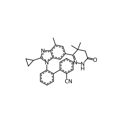 Cc1cc(C2=NNC(=O)CC2(C)C)cc2c1nc(C1CC1)n2-c1ccccc1-c1ccccc1C#N